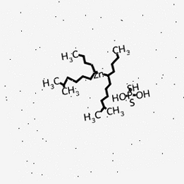 CCCC[CH](CCCCC(C)C)[Zn][CH](CCCC)CCCCC(C)C.OP(O)(=S)S